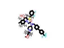 [2H]C1=C(SC([2H])([2H])c2cccc(F)c2F)N(CC(=O)N(Cc2ccc(-c3ccc(C(F)(F)F)cc3)cc2)C2CCN(C([2H])([2H])C([2H])([2H])OC)CC2)c2c([2H])c([2H])c(C)c([2H])c2C1O